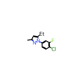 CCc1cc(C)nn1-c1ccc(Cl)c(F)c1